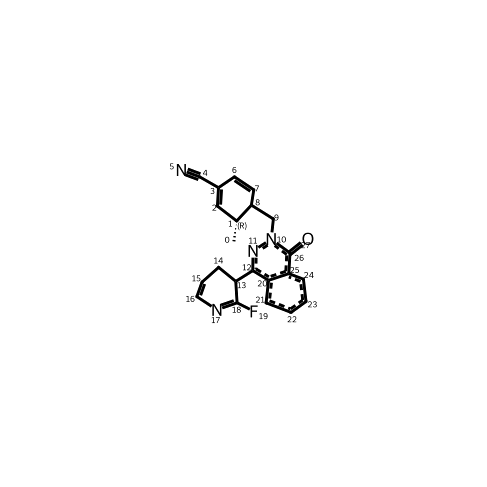 C[C@@H]1C=C(C#N)C=CC1Cn1nc(C2CC=CN=C2F)c2ccccc2c1=O